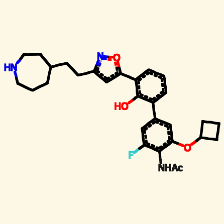 CC(=O)Nc1c(F)cc(-c2cccc(-c3cc(CCC4CCCNCC4)no3)c2O)cc1OC1CCC1